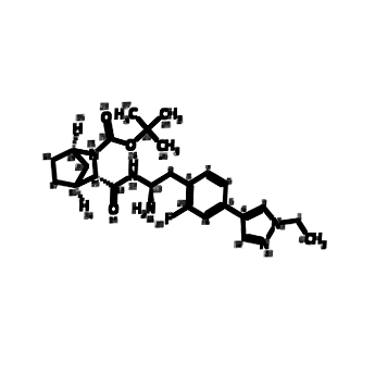 CCn1cc(-c2ccc(C[C@@H](N)NC(=O)[C@@H]3[C@H]4CC[C@H](C4)N3C(=O)OC(C)(C)C)c(F)c2)cn1